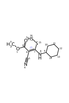 COC(=O)/C(C#N)=C(/NC1CCCCC1)SS